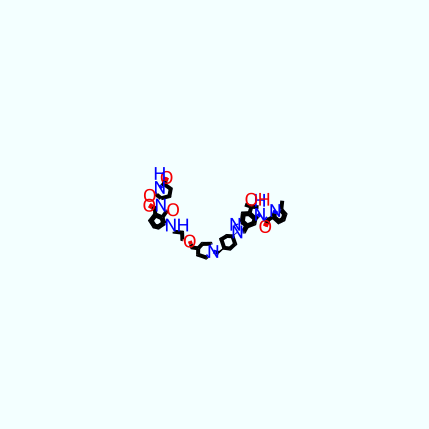 Cc1cccc(C(=O)Nc2cc3cn([C@H]4CC[C@H](CN5CCC(COCCCNc6cccc7c6C(=O)N(C6CCC(=O)NC6=O)C7=O)CC5)CC4)nc3cc2C(C)(C)O)n1